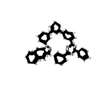 c1ccc(-c2nc(-c3ccccc3)nc(-c3cccc(-c4cccc(-c5cccc(-n6ncc7cc8ccccc8cc76)c5)c4)c3)n2)cc1